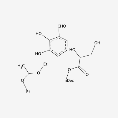 CCCCCCCCCCOC(=O)C(O)CO.CCOC(C)OCC.O=Cc1cccc(O)c1O